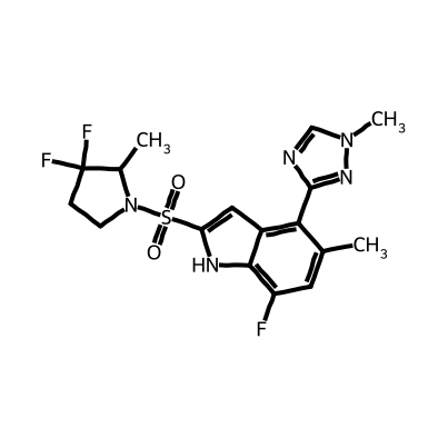 Cc1cc(F)c2[nH]c(S(=O)(=O)N3CCC(F)(F)C3C)cc2c1-c1ncn(C)n1